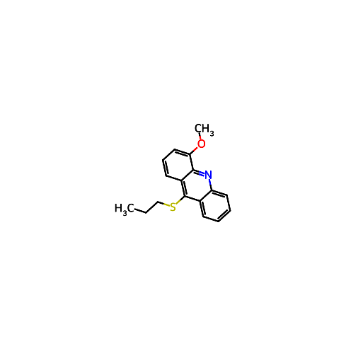 CCCSc1c2ccccc2nc2c(OC)cccc12